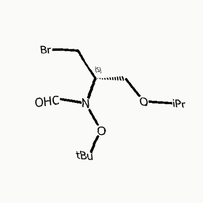 CC(C)OC[C@@H](CBr)N(C=O)OC(C)(C)C